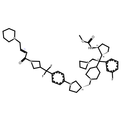 COC(=O)N[C@H]1CCC[C@@H]1[C@](CN1CCC1)(c1cccc(F)c1)C1CCN(C[C@@H]2CCN(c3ccc(C(F)(F)C4CN(C(=O)/C=C/CN5CCCCC5)C4)cc3)C2)CC1